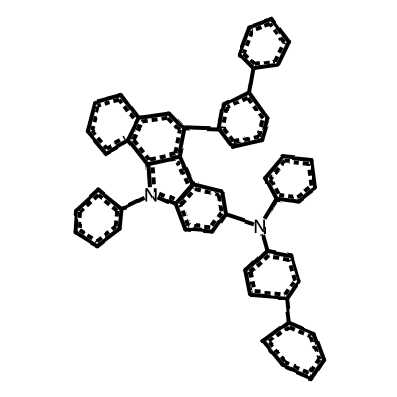 c1ccc(-c2ccc(N(c3ccccc3)c3ccc4c(c3)c3c(-c5cccc(-c6ccccc6)c5)cc5ccccc5c3n4-c3ccccc3)cc2)cc1